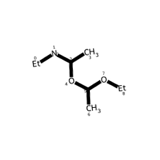 CC[N]C(C)OC(C)OCC